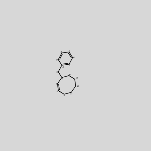 C1=CC(Cc2ccccc2)CCCCC1